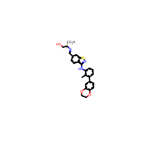 Cc1c(Nc2nsc3cc(C=N[C@H](CO)C(=O)O)ccc23)cccc1-c1ccc2c(c1)OCCO2